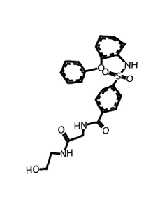 O=C(CNC(=O)c1ccc(S(=O)(=O)Nc2ccccc2Oc2ccccc2)cc1)NCCO